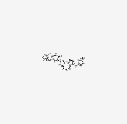 Cn1nccc1Nc1cc(C2C=C3c4nnc(Cn5cc(Cl)cn5)n4CCCN3C2)c(Cl)cn1